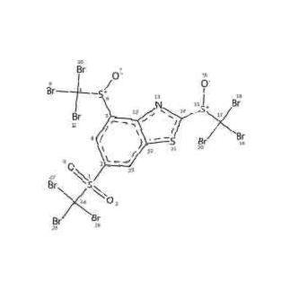 O=S(=O)(c1cc([S+]([O-])C(Br)(Br)Br)c2nc([S+]([O-])C(Br)(Br)Br)sc2c1)C(Br)(Br)Br